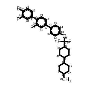 CC1CCC(C2CCC(C(F)(F)Oc3ccc(-c4ccc(-c5ccc(F)c(F)c5)c(F)c4)cc3)CC2)CC1